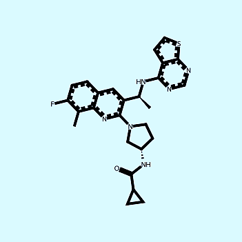 Cc1c(F)ccc2cc([C@H](C)Nc3ncnc4sccc34)c(N3CC[C@H](NC(=O)C4CC4)C3)nc12